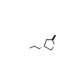 O=C1C[C@H](CCO)CN1